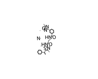 C=C(c1ccccc1)c1sc(NC(=O)CCNC(=O)c2cccc(-c3noc(C)n3)c2)nc1C.[N]